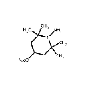 COC1CC(C)(C)N(N)C(C)(C)C1